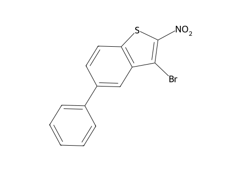 O=[N+]([O-])c1sc2ccc(-c3ccccc3)cc2c1Br